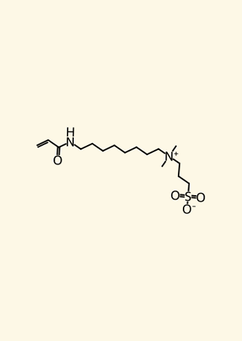 C=CC(=O)NCCCCCCCC[N+](C)(C)CCCS(=O)(=O)[O-]